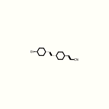 CC[C@H]1CC[C@H](/C=C/[C@H]2CC[C@H](/C=C/C#N)CC2)CC1